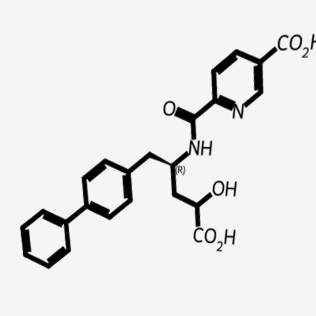 O=C(O)c1ccc(C(=O)N[C@H](Cc2ccc(-c3ccccc3)cc2)CC(O)C(=O)O)nc1